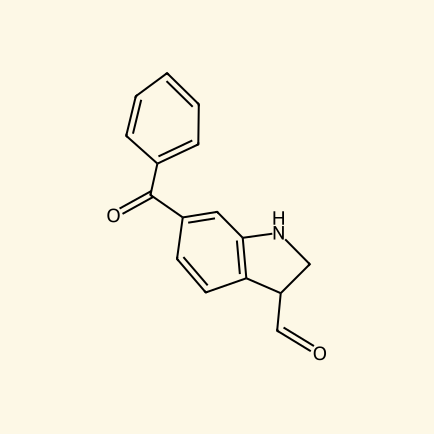 O=CC1CNc2cc(C(=O)c3ccccc3)ccc21